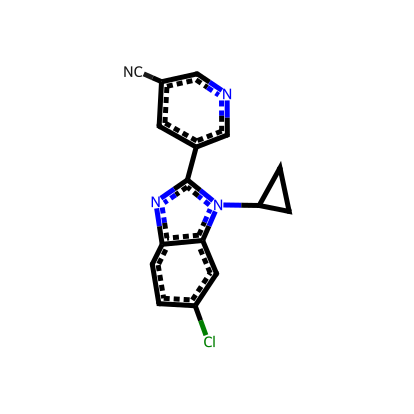 N#Cc1cncc(-c2nc3ccc(Cl)cc3n2C2CC2)c1